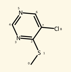 CSc1ncncc1Cl